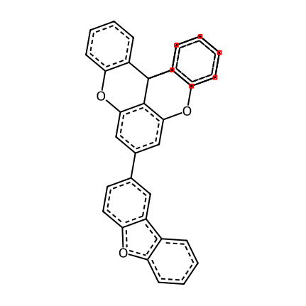 c1ccc(C23c4ccccc4Oc4cc(-c5ccc6oc7ccccc7c6c5)cc(c42)Oc2ccccc23)cc1